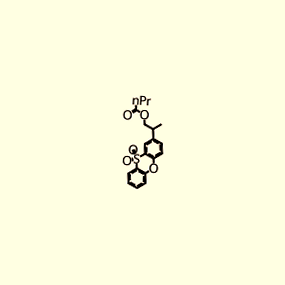 CCCC(=O)OCC(C)c1ccc2c(c1)S(=O)(=O)c1ccccc1O2